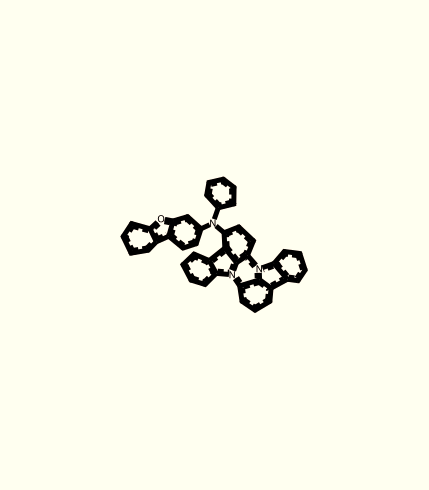 c1ccc(N(c2ccc3c(c2)oc2ccccc23)c2ccc3c4c2c2ccccc2n4c2cccc4c5ccccc5n3c42)cc1